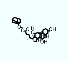 C[C@H](CCC(=O)OCOC1C2CC3CC(C2)CC1C3)[C@H]1CC[C@H]2[C@@H]3[C@H](O)C[C@@H]4C[C@H](O)CC[C@]4(C)[C@H]3C[C@H](O)[C@]12C